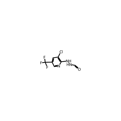 O=CNNc1ncc(C(F)(F)F)cc1Cl